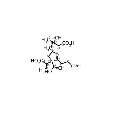 CCCCCCCCCCCCC1=NCC[N+]1(C(C)O)C(C)C(=O)O.C[N+](C)(C)CC(=O)O